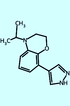 CC(C)N1CCOc2c(-c3cn[nH]c3)cccc21